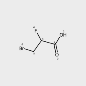 O=C(O)C(F)CBr